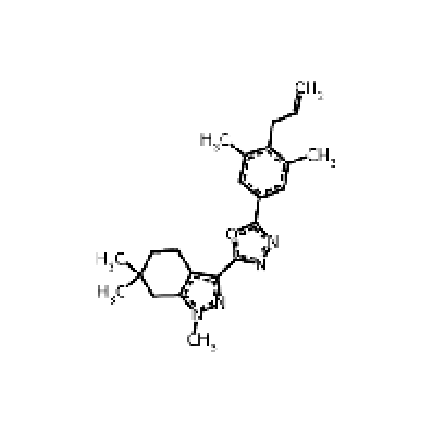 C=CCc1c(C)cc(-c2nnc(-c3nn(C)c4c3CCC(C)(C)C4)o2)cc1C